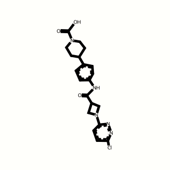 O=C(Nc1ccc(C2CCN(C(=O)O)CC2)cc1)C1CN(c2ccc(Cl)nn2)C1